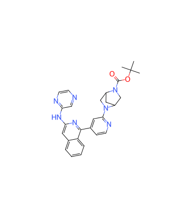 CC(C)(C)OC(=O)N1CC2CC1CN2c1cc(-c2nc(Nc3cnccn3)cc3ccccc23)ccn1